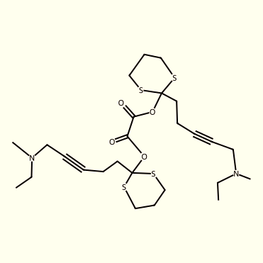 CCN(C)CC#CCCC1(OC(=O)C(=O)OC2(CCC#CCN(C)CC)SCCCS2)SCCCS1